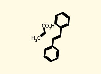 C(=C\c1ccccc1)/c1ccccc1.C=CC(=O)O